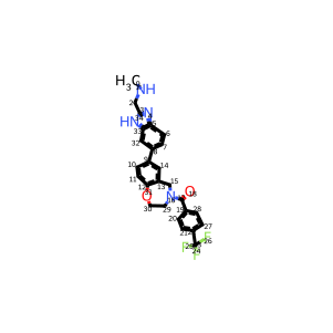 CNCc1nc2ccc(-c3ccc4c(c3)CN(C(=O)c3ccc(C(F)(F)F)cc3)CCO4)cc2[nH]1